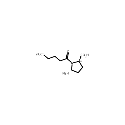 CCCCCCCCCCCC(=O)N1CCC[C@@H]1C(=O)O.[NaH]